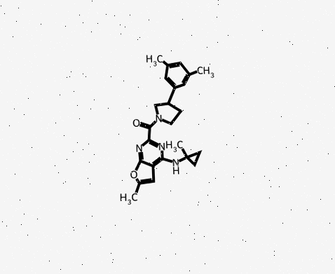 Cc1cc(C)cc(C2CCN(C(=O)c3nc(NC4(C)CC4)c4cc(C)oc4n3)C2)c1